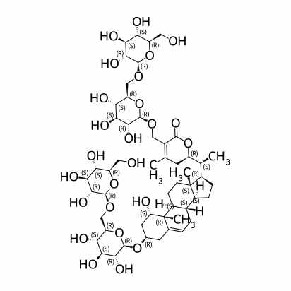 CC1=C(CO[C@@H]2O[C@H](CO[C@@H]3O[C@H](CO)[C@@H](O)[C@H](O)[C@H]3O)[C@@H](O)[C@H](O)[C@H]2O)C(=O)O[C@@H]([C@@H](C)[C@H]2CC[C@H]3[C@@H]4CC=C5C[C@@H](O[C@@H]6O[C@H](CO[C@@H]7O[C@H](CO)[C@@H](O)[C@H](O)[C@H]7O)[C@@H](O)[C@H](O)[C@H]6O)C[C@H](O)[C@]5(C)[C@H]4CC[C@]23C)C1